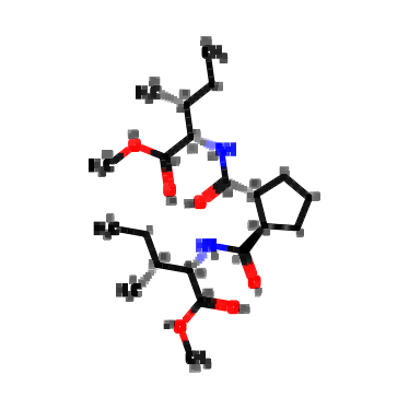 CC[C@@H](C)[C@H](NC(=O)[C@@H]1CCC[C@H]1C(=O)N[C@H](C(=O)OC)[C@H](C)CC)C(=O)OC